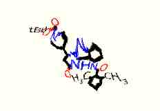 Cc1cccc(C)c1C(=O)Nc1cccc2nn3c(C4CCN(C(=O)OC(C)(C)C)CC4)cc(=O)[nH]c3c12